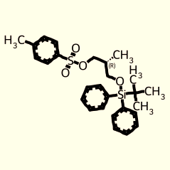 Cc1ccc(S(=O)(=O)OC[C@H](C)CO[Si](c2ccccc2)(c2ccccc2)C(C)(C)C)cc1